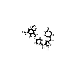 COc1cc(OC)c(F)c(COc2cnc(Nc3cc(CN4CCCN(C)CC4)n[nH]3)nc2)c1F